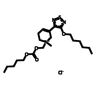 CCCCCCOc1nsnc1C1=CCC[N+](C)(COC(=O)OCCCCC)C1.[Cl-]